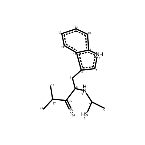 CC(S)NC(Cc1c[nH]c2ccccc12)C(=O)C(C)C